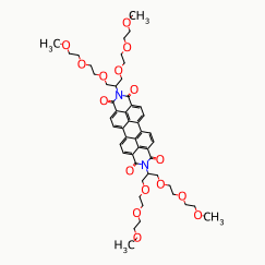 COCCOCCOCC(COCCOCCOC)N1C(=O)c2ccc3c4ccc5c6c(ccc(c7ccc(c2c37)C1=O)c64)C(=O)N(C(COCCOCCOC)COCCOCCOC)C5=O